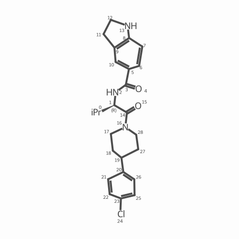 CC(C)[C@@H](NC(=O)c1ccc2c(c1)CCN2)C(=O)N1CCC(c2ccc(Cl)cc2)CC1